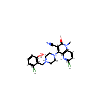 Cn1c(=O)c(C#N)c(N2CCN(Cc3c(O)cccc3Cl)CC2)c2nc(Cl)ccc21